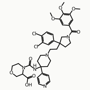 COc1cc(C(=O)N2CCC(CCN3CCC(NC(=O)N4CCOCC4C(=O)O)(c4ccncc4)CC3)(c3ccc(Cl)c(Cl)c3)C2)cc(OC)c1OC